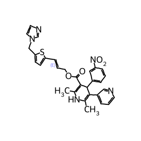 CC1=C(C(=O)OC/C=C/c2ccc(Cn3ccnc3)s2)C(c2cccc([N+](=O)[O-])c2)C(c2cccnc2)=C(C)N1